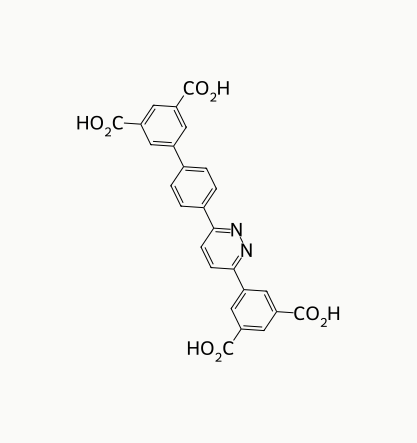 O=C(O)c1cc(C(=O)O)cc(-c2ccc(-c3ccc(-c4cc(C(=O)O)cc(C(=O)O)c4)nn3)cc2)c1